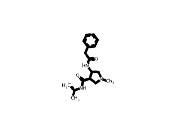 CC(C)NC(=O)C1CN(C)CC1NC(=O)Cc1ccccc1